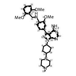 COc1cc(-c2nn(C3CCC(N4CCN(C)CC4)CC3)c3ncnc(N)c23)ccc1NCc1c(OC)cccc1OC